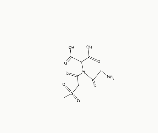 CS(=O)(=O)CC(=O)N(C(=O)CN)C(C(=O)O)C(=O)O